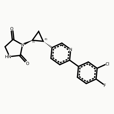 O=C1CNC(=O)N1[C@H]1C[C@@H]1c1ccc(-c2ccc(F)c(Cl)c2)nc1